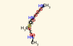 CC#CCNC(=O)OCCCCOC(C)SSc1ccc(CC(=O)NCCOCCOCCOCCNC)cc1